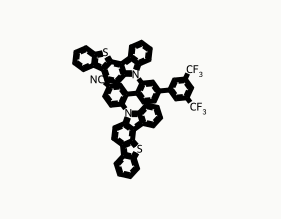 N#Cc1ccc(-n2c3ccccc3c3c4sc5ccccc5c4ccc32)c(-c2ccc(-c3cc(C(F)(F)F)cc(C(F)(F)F)c3)cc2-n2c3ccccc3c3c4sc5ccccc5c4ccc32)c1